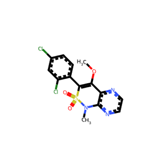 COC1=C(c2ccc(Cl)cc2Cl)S(=O)(=O)N(C)c2nccnc21